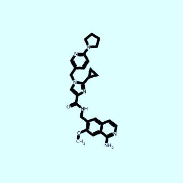 COc1cc2c(N)nccc2cc1CNC(=O)c1cn(Cc2ccc(N3CCCC3)nc2)c(C2CC2)n1